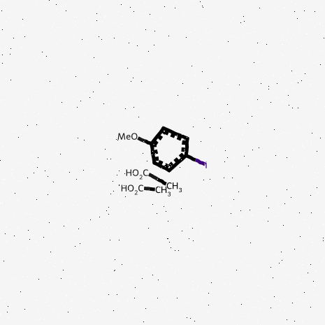 CC(=O)O.CC(=O)O.COc1ccc(I)cc1